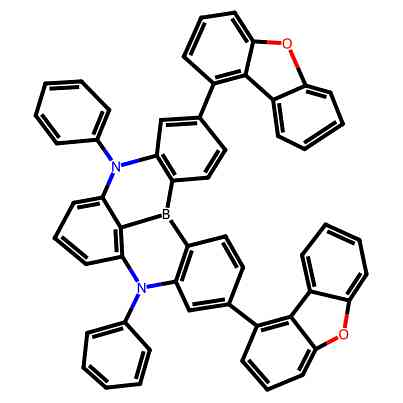 c1ccc(N2c3cc(-c4cccc5oc6ccccc6c45)ccc3B3c4ccc(-c5cccc6oc7ccccc7c56)cc4N(c4ccccc4)c4cccc2c43)cc1